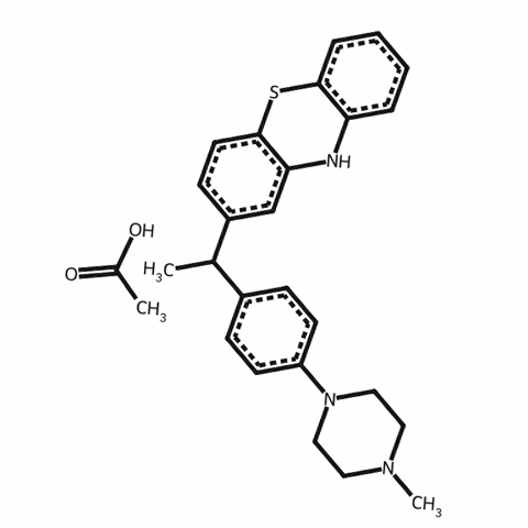 CC(=O)O.CC(c1ccc(N2CCN(C)CC2)cc1)c1ccc2c(c1)Nc1ccccc1S2